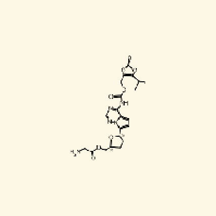 CC(C)c1oc(=O)oc1COC(=O)Nc1ncnn2c([C@H]3CC[C@@H](COC(=O)CN)O3)ccc12